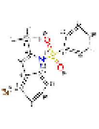 C[Si](C)(C)c1cc2c(Br)cccc2n1S(=O)(=O)c1ccccc1